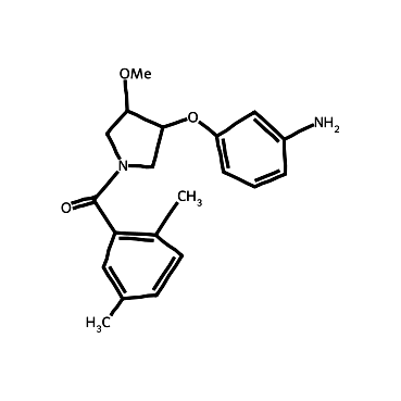 COC1CN(C(=O)c2cc(C)ccc2C)CC1Oc1cccc(N)c1